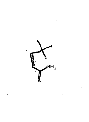 C=C(N)/C=C\C(C)(C)I